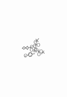 COc1ccc(C[C@@H]2[C@H](OC(=O)C3CC4(CCC4)C3)[C@@H](OC(=O)OC(C)(C)C)CN2C(=O)OC(C)(C)C)cc1